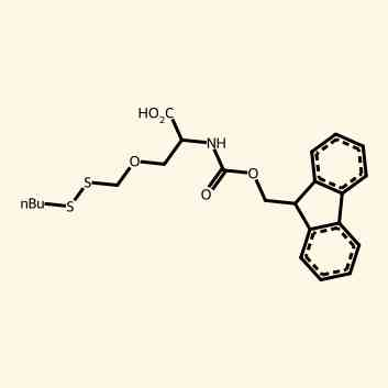 CCCCSSCOCC(NC(=O)OCC1c2ccccc2-c2ccccc21)C(=O)O